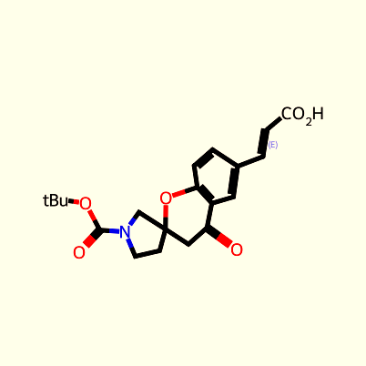 CC(C)(C)OC(=O)N1CCC2(CC(=O)c3cc(/C=C/C(=O)O)ccc3O2)C1